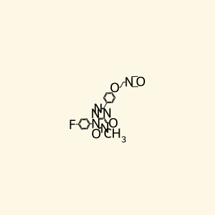 Cn1c(=O)c2nc(-c3ccc(OCCN4CCOCC4)cc3)nnc2n(-c2ccc(F)cc2)c1=O